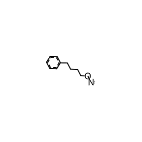 [N]OCCCCc1ccccc1